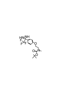 CN(CCOc1ccc(C2(C(F)(F)F)NN2)cc1)C(=O)OC(C)(C)C